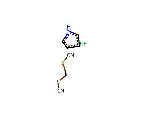 F.N#CSCSC#N.c1cc[nH]c1